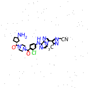 N#CCn1cc(-c2cnc3c(Nc4ccc(C(=O)N5CCN(C(=O)[C@@H]6CC[C@@H](N)C6)CC5)c(Cl)c4)nccn23)c(C(F)(F)F)n1